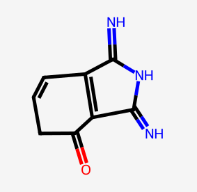 N=C1NC(=N)C2=C1C=CCC2=O